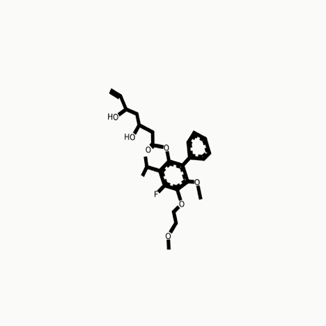 C=CC(O)CC(O)CC(=O)Oc1c(-c2ccccc2)c(OC)c(OCCOC)c(F)c1C(C)C